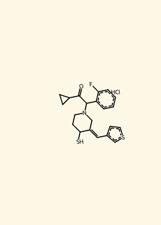 Cl.O=C(C1CC1)C(c1ccccc1F)N1CCC(S)/C(=C/c2ccsc2)C1